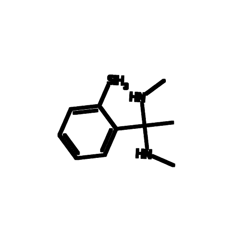 CNC(C)(NC)c1ccccc1[SiH3]